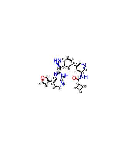 O=C(Nc1cncc(-c2ccc3[nH]nc(-c4nc5c(-c6ccoc6)ccnc5[nH]4)c3c2)c1)C1CCC1